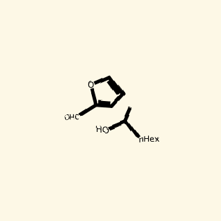 CCCCCCC(C)O.O=Cc1ccco1